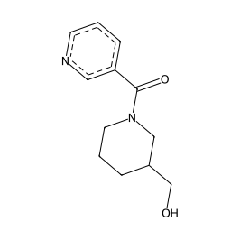 O=C(c1cccnc1)N1CCCC(CO)C1